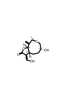 C=C1[C@H](C)CC[C@H](O)CC[C@@H]2/C(=C\O)C(=O)O[C@H]12